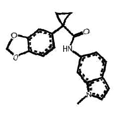 Cn1ccc2ccc(NC(=O)C3(c4ccc5c(c4)OCO5)CC3)cc21